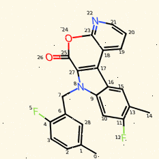 Cc1ccc(F)c(Cn2c3cc(F)c(C)cc3c3c4cccnc4oc(=O)c32)c1